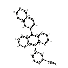 N#Cc1cccc(-c2c3ccccc3c(-c3ccc4ccccc4c3)c3ccccc23)c1